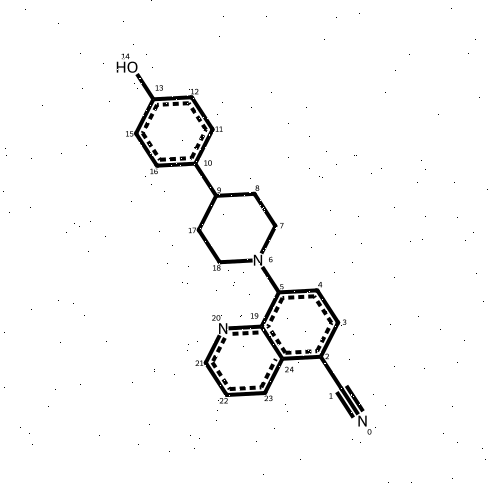 N#Cc1ccc(N2CCC(c3ccc(O)cc3)CC2)c2ncccc12